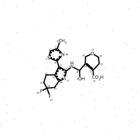 Cc1csc(-c2c(NC(O)C3=C(C(=O)O)CCOC3)sc3c2CCC(F)(F)C3)n1